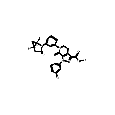 CCNC(=O)c1nn(-c2cccc(Cl)c2)c2c1CCN(c1cccc(N3C(=O)C[C@@H]4C[C@@H]43)c1)C2=O